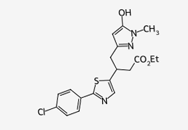 CCOC(=O)CC(Cc1cc(O)n(C)n1)c1cnc(-c2ccc(Cl)cc2)s1